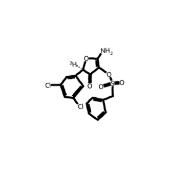 [2H][C@]1(c2cc(Cl)cc(Cl)c2)OC(N)=C(OS(=O)(=O)Cc2ccccc2)C1=O